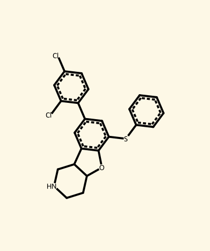 Clc1ccc(-c2cc(Sc3ccccc3)c3c(c2)C2CNCCC2O3)c(Cl)c1